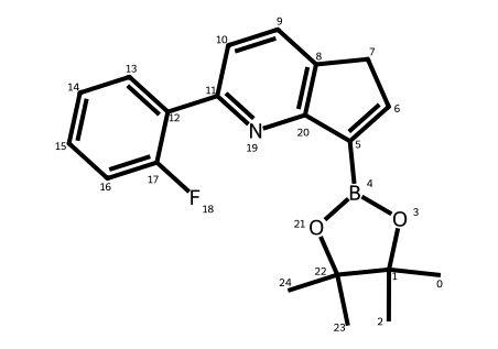 CC1(C)OB(C2=CCc3ccc(-c4ccccc4F)nc32)OC1(C)C